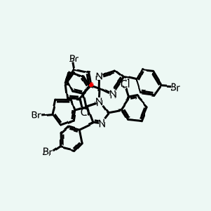 Clc1ccccc1C1N=C(c2ccc(Br)cc2)C(c2ccc(Br)cc2)(c2ccc(Br)cc2)N1C1(c2ccccc2Cl)N=CC(c2ccc(Br)cc2)=N1